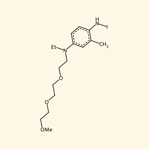 CCN(CCOCCOCCOC)c1ccc(NI)c(C)c1